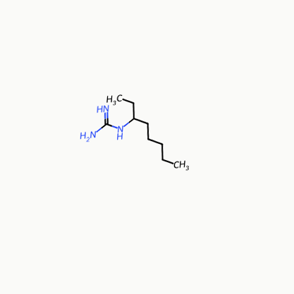 CCCCCC(CC)NC(=N)N